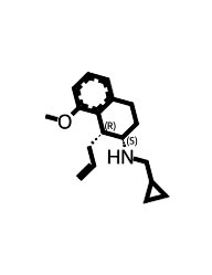 C=CC[C@@H]1c2c(cccc2OC)CC[C@@H]1NCC1CC1